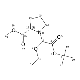 CCOC(C(=O)OC(C)(C)C)N1CCC[C@H]1C(=O)OC